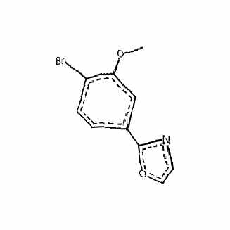 COc1cc(-c2ncco2)ccc1Br